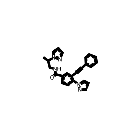 CC(CNC(=O)c1ccc(-n2cccn2)c(C#Cc2ccccc2)c1)n1cccn1